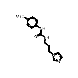 COc1ccc(NC(=O)NCCCn2ccnc2)cc1